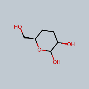 OC[C@H]1CC[C@@H](O)C(O)O1